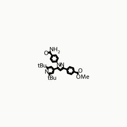 COC(=O)c1ccc(-c2cc(-c3cc(C(C)(C)C)nc(C(C)(C)C)c3)n(-c3ccc(C(N)=O)cc3)n2)cc1